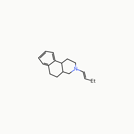 CCC=CN1CCC2c3ccccc3CCC2C1